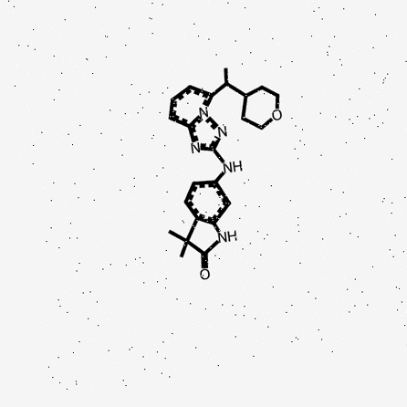 CC(c1cccc2nc(Nc3ccc4c(c3)NC(=O)C4(C)C)nn12)C1CCOCC1